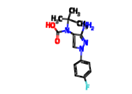 CC(C)(C)N(C(=O)O)c1cn(-c2ccc(F)cc2)nc1N